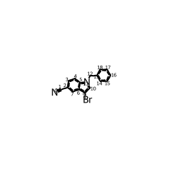 N#Cc1ccc2c(c1)c(Br)cn2Cc1ccccc1